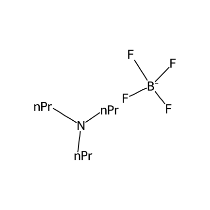 CCCN(CCC)CCC.F[B-](F)(F)F